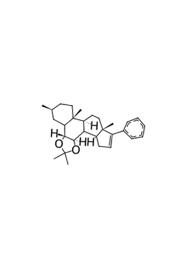 C[C@H]1CC[C@@]2(C)C(C1)[C@H]1OC(C)(C)O[C@@H]1C1[C@@H]2CC[C@]2(C)C(c3ccccc3)=CC[C@@H]12